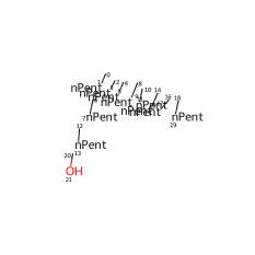 CCCCCC.CCCCCC.CCCCCC.CCCCCC.CCCCCC.CCCCCC.CCCCCC.CCCCCC.CCCCCC.CCCCCC.CO